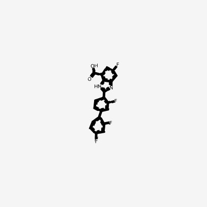 O=C(O)c1cc(F)cc2nc(-c3ccc(-c4ccc(F)cc4F)cc3F)[nH]c12